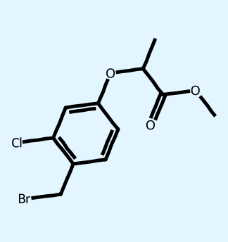 COC(=O)C(C)Oc1ccc(CBr)c(Cl)c1